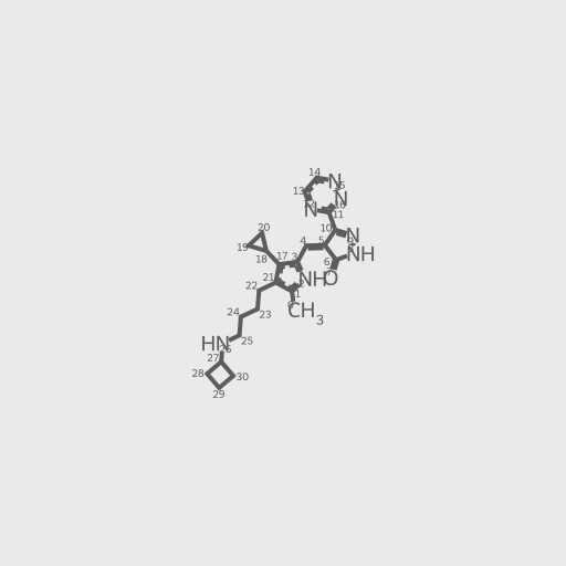 Cc1[nH]c(C=C2C(=O)NN=C2c2nccnn2)c(C2CC2)c1CCCCNC1CCC1